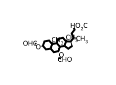 C[C@H](CCC(=O)O)[C@H]1CCC2C3C(CC[C@@]21C)[C@@]1(C)CC[C@@H](OC=O)CC1C[C@H]3OC=O